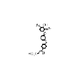 CCCc1c(O[C@H]2CCC[C@@H](Sc3ccc(C(=O)CCC(=O)O)cc3)C2)ccc(C(C)=O)c1O